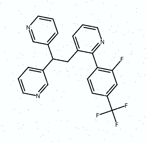 Fc1cc(C(F)(F)F)ccc1-c1ncccc1CC(c1cccnc1)c1cccnc1